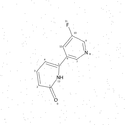 O=c1cccc(-c2cncc(F)c2)[nH]1